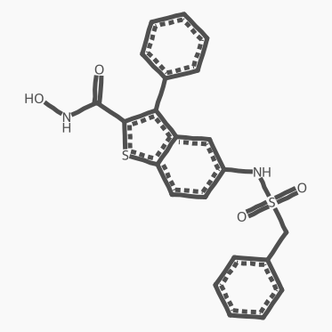 O=C(NO)c1sc2ccc(NS(=O)(=O)Cc3ccccc3)cc2c1-c1ccccc1